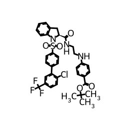 CC(C)(C)OC(=O)c1ccc(NCCNC(=O)[C@@H]2Cc3ccccc3N2S(=O)(=O)c2ccc(-c3cc(C(F)(F)F)ccc3Cl)cc2)cc1